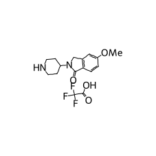 COc1ccc2c(c1)CN(C1CCNCC1)C2=O.O=C(O)C(F)(F)F